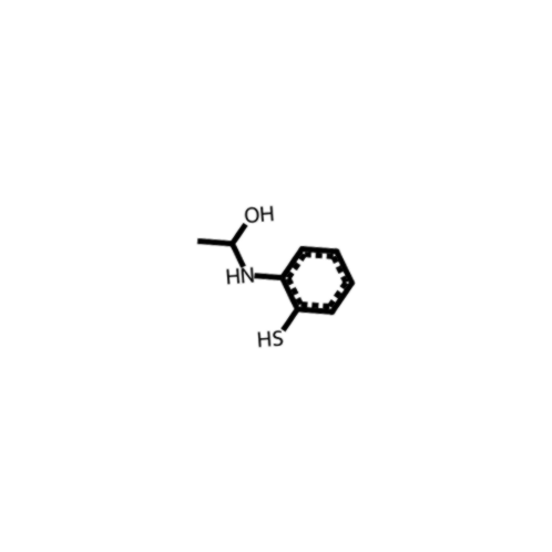 CC(O)Nc1ccccc1S